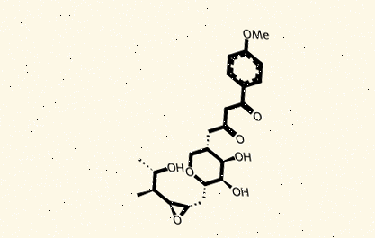 COc1ccc(C(=O)CC(=O)C[C@H]2CO[C@@H](C[C@@H]3O[C@H]3[C@@H](C)[C@H](C)O)[C@H](O)[C@@H]2O)cc1